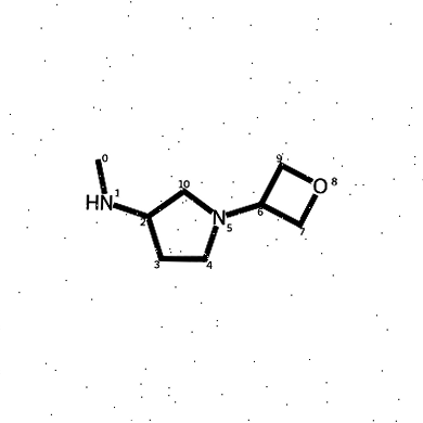 CNC1CCN(C2COC2)C1